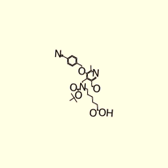 Cc1ncc(C=O)c(CN(CCCCCC(=O)O)C(=O)OC(C)(C)C)c1OCc1ccc(C#N)cc1